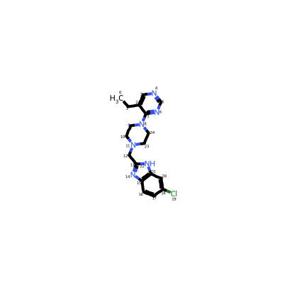 CCc1cncnc1N1CCN(Cc2nc3ccc(Cl)cc3[nH]2)CC1